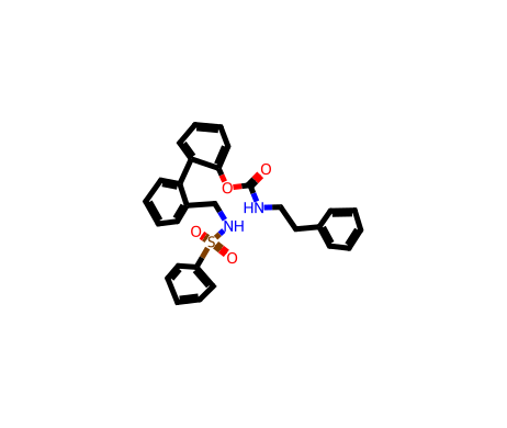 O=C(NCCc1ccccc1)Oc1ccccc1-c1ccccc1CNS(=O)(=O)c1ccccc1